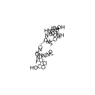 C=CC(=O)N1CCN(c2nc(O[C@H](C)CN3CCC(CCCOC4CN(CC(=O)N[C@H](C(=O)N5C[C@H](O)C[C@H]5C(=O)N[C@@H](C)c5ccc(-c6scnc6C)cc5)C(C)(C)C)C4)CC3)nc3c(F)c(-c4cc(O)cc5ccccc45)c(Cl)cc23)CC1